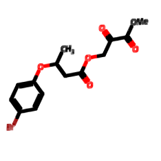 COC(=O)C(=O)COC(=O)CC(C)Oc1ccc(Br)cc1